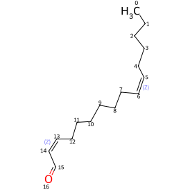 CCCCC/C=C\CCCCCC/C=C\C=O